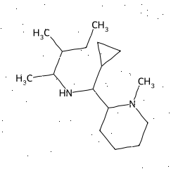 CCC(C)C(C)NC(C1CC1)C1CCCCN1C